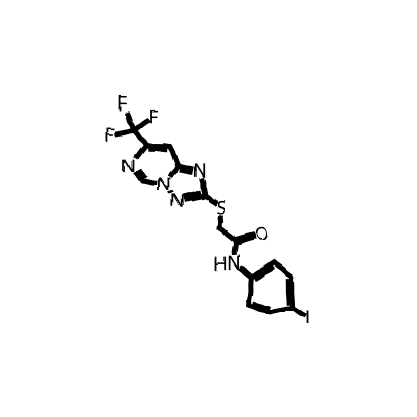 O=C(CSc1nc2cc(C(F)(F)F)ncn2n1)Nc1ccc(I)cc1